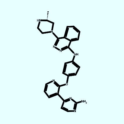 C[C@@H]1CN(c2nnc(Nc3ccc(Oc4ncccc4-c4ccnc(N)n4)cc3)c3ccccc23)CCN1